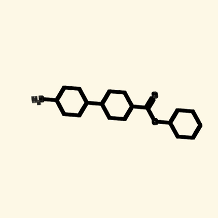 BC1CCC(C2CCC(C(=O)OC3CCCCC3)CC2)CC1